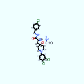 NC=O.O=C(NCc1ccc(Cl)cc1)C1=NOC2(CCN(c3ccc(Cl)c(Cl)c3)CC2)C1